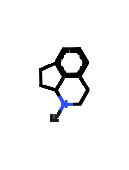 CCN1CCc2cccc3c2C1CC3